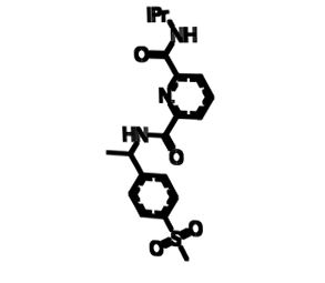 CC(C)NC(=O)c1cccc(C(=O)NC(C)c2ccc(S(C)(=O)=O)cc2)n1